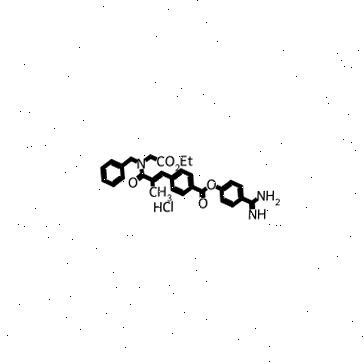 CCOC(=O)CN(Cc1ccccc1)C(=O)C(C)=Cc1ccc(C(=O)Oc2ccc(C(=N)N)cc2)cc1.Cl